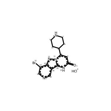 Cl.O=c1cc(C2CCNCC2)n2nc3c(Br)cncc3c2[nH]1